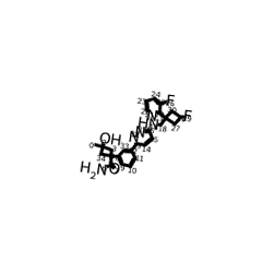 CC1(O)CC(C(N)=O)(c2cccc(-c3ccc(NCC4(c5ncccc5F)CC(F)C4)nn3)c2)C1